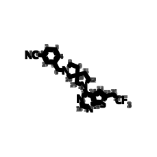 N#Cc1cccc(CN2CCC3(CCN(c4ncnc5sc(CC(F)(F)F)cc45)C3)C2)c1